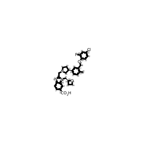 O=C(O)c1ccc2nc(CN3CC[C@@H](c4ccc(F)c(COc5ccc(Cl)cc5F)c4)C3)n(C[C@@H]3CCO3)c2c1